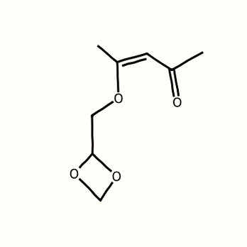 CC(=O)/C=C(/C)OCC1OCO1